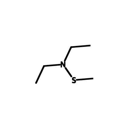 CCN(CC)SC